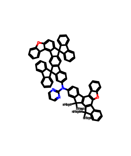 CCCCCCCC1(CCCCCCC)c2ccccc2-c2c1c1c(c3c2oc2ccccc23)-c2ccc(N(c3ccc4c(c3)C3(c5ccccc5-c5ccccc53)c3cc5c(cc3-4)C3(c4ccccc4-c4ccccc43)c3ccc4oc6ccccc6c4c3-5)c3ncccn3)cc2C1(CCCCCCC)CCCCCCC